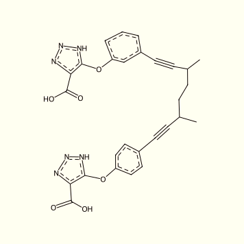 CC(C#Cc1ccc(Oc2[nH]nnc2C(=O)O)cc1)CCC(C)C#Cc1cccc(Oc2[nH]nnc2C(=O)O)c1